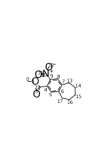 COC(=O)c1cc2c(cc1[N+](=O)[O-])CCCCC2